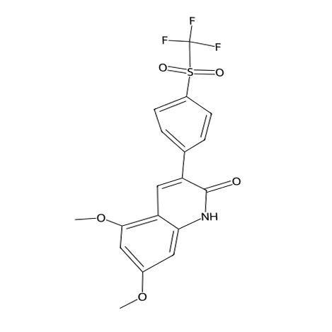 COc1cc(OC)c2cc(-c3ccc(S(=O)(=O)C(F)(F)F)cc3)c(=O)[nH]c2c1